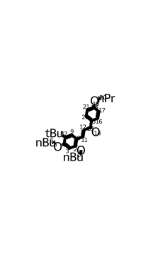 CCCCOc1cc(OCCCC)c(C(C)(C)C)cc1C=CC(=O)c1ccc(OCCC)cc1